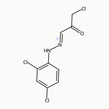 O=C(/C=N/Nc1ccc(Cl)cc1Cl)CCl